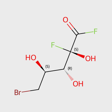 O=C(F)[C@@](O)(F)[C@H](O)[C@H](O)CBr